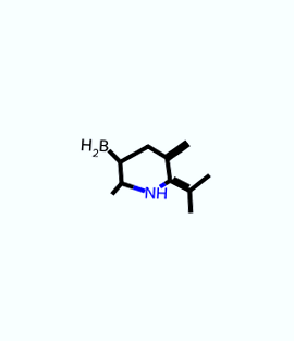 BC1CC(=C)C(=C(C)C)NC1C